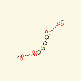 C=CC(=O)OCCCCCCOC(=O)c1ccc(-c2ccc(-c3ccc(-c4ccc(OC(=O)CCCCCOC(=O)C=C)cc4)s3)cc2)cc1